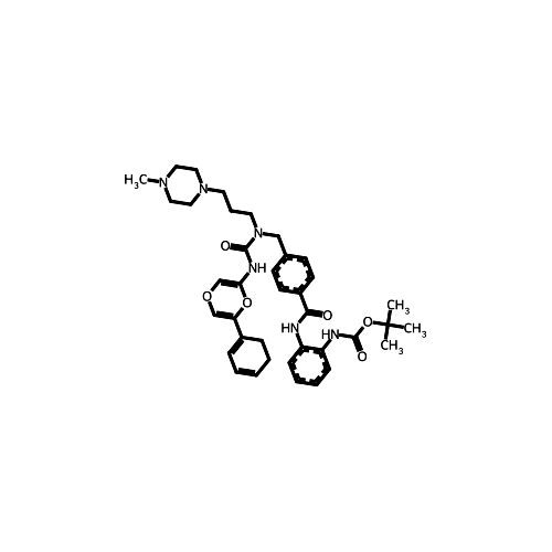 CN1CCN(CCCN(Cc2ccc(C(=O)Nc3ccccc3NC(=O)OC(C)(C)C)cc2)C(=O)NC2=COC=C(C3=CC=CCC3)O2)CC1